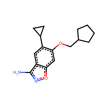 Nc1noc2cc(OCC3CCCC3)c(C3CC3)cc12